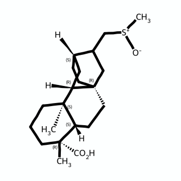 C[S+]([O-])CC1C[C@]23CC[C@H]1C[C@H]2[C@]1(C)CCC[C@@](C)(C(=O)O)[C@H]1CC3